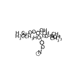 C/C(=C(\COCC[Si](C)(C)C)C(O)c1ccc(OCCN2CCCCC2)cc1)c1ccc(OCOCC[Si](C)(C)C)cc1O